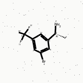 C[C@@H](N)c1cc(Br)cc(C(C)(F)F)c1